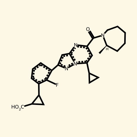 C[C@@H]1CCCCCN1C(=O)c1cc(C2CC2)n2nc(-c3cccc(C4CC4C(=O)O)c3F)cc2n1